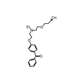 C#CCCOCCN(CC)CCOc1ccc(C(=O)c2ccccc2)cc1